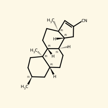 C[C@H]1CC[C@]2(C)[C@H](CC[C@H]3[C@H]2CC[C@@]2(C)C=C(C#N)C[C@H]32)C1